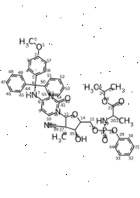 COc1ccc(C(Nc2ccn(C3OC(CO[P@](=O)(NC(C)C(=O)OC(C)C)Oc4ccccc4)[C@@H](O)[C@@]3(C)C#N)c(=O)n2)(c2ccccc2)c2ccccc2)cc1